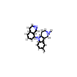 Cc1ccc2c(c1)c1c(n2-c2cccc3ccncc23)CCN(C)C1